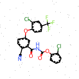 N#Cc1ccc(Oc2ccc(C(F)(F)F)cc2Cl)cc1C(=O)NC(=O)Oc1ccccc1Cl